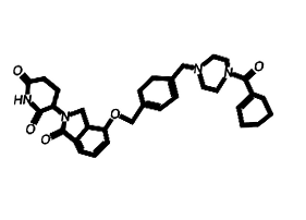 O=C1CCC(N2CC3C(=CC=CC3OCC3=CC=C(CN4CCN(C(=O)C5=CCCCC5)CC4)CC3)C2=O)C(=O)N1